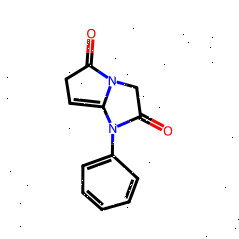 O=C1CC=C2N1CC(=O)N2c1ccccc1